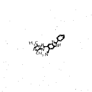 Cc1ncc(C)n2nc(-c3cc4nc(-c5ccccc5)[nH]c4cc3C#N)nc12